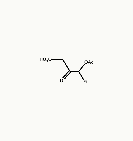 CCC(OC(C)=O)C(=O)CC(=O)O